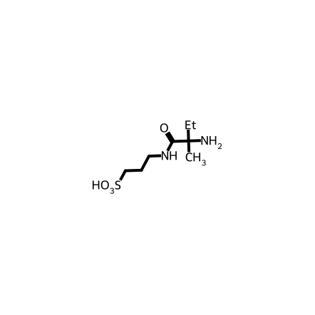 CCC(C)(N)C(=O)NCCCS(=O)(=O)O